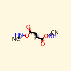 N#CNOC(=O)/C=C/C(=O)ONC#N